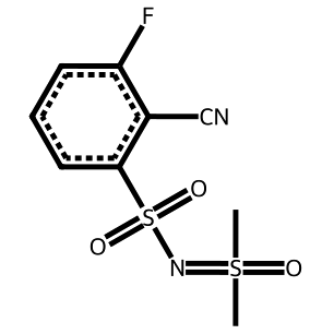 CS(C)(=O)=NS(=O)(=O)c1cccc(F)c1C#N